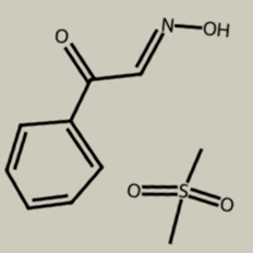 CS(C)(=O)=O.O=C(C=NO)c1ccccc1